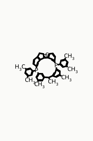 Cc1cc(C)cc(P2c3cc(C)cc(c3)C(C)c3cc(C)cc(c3)P(c3cc(C)cc(C)c3)c3ccc4c(c3)C3(CCc5ccc2cc53)CC4)c1